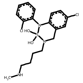 CNCCCCN1Cc2cc(Cl)ccc2N(c2ccccc2Cl)S1(O)O